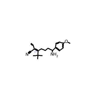 C=C/C(C#N)=C(\CCCC(N)c1ccc(OC)cc1)C(C)(C)C